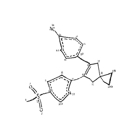 CS(=O)(=O)c1ccc(C2=C(c3ccc(C#N)cc3)CC3(CC3)C2)nc1